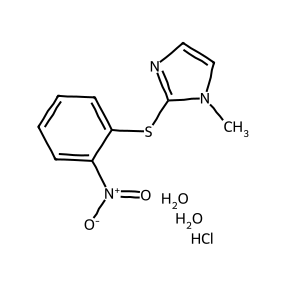 Cl.Cn1ccnc1Sc1ccccc1[N+](=O)[O-].O.O